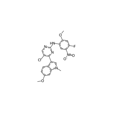 COc1ccc2c(-c3nc(Nc4cc([N+](=O)[O-])c(F)cc4OC)ncc3Cl)cn(C)c2c1